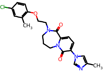 Cc1cn(-c2ccc3n(c2=O)CCCN(CCOc2ccc(Cl)cc2C)C3=O)cn1